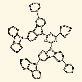 c1ccc(-c2ccc3c(c2)c2cc(-n4c5ccccc5c5ccccc54)ccc2n3-c2nc(-c3ccccc3)nc(-n3c4ccc(-c5ccccc5)cc4c4cc(-n5c6ccccc6c6ccccc65)ccc43)n2)cc1